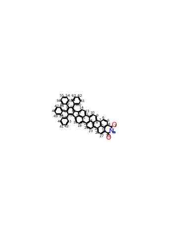 CN1C(=O)c2ccc3c4ccc5c6ccc7c8c(ccc(c9ccc(c%10ccc(c2c3%10)C1=O)c4c59)c86)-c1c(-c2ccccc2)c(-c2ccccc2)c(-c2ccccc2)c(-c2ccccc2)c1-7